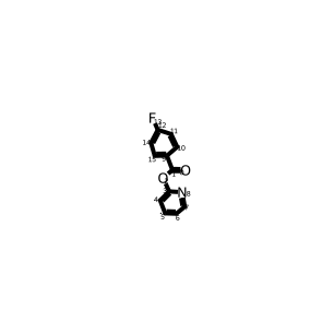 O=C(Oc1c[c]ccn1)c1ccc(F)cc1